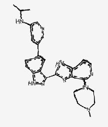 CC(C)Nc1cncc(-c2ccc3[nH]nc(-c4nc5c(N6CCN(C)CC6)nccc5[nH]4)c3c2)c1